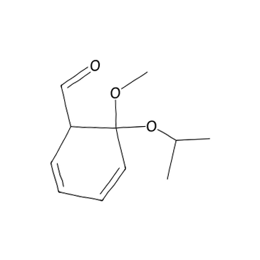 COC1(OC(C)C)C=CC=CC1C=O